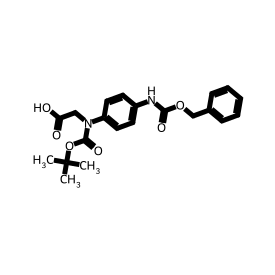 CC(C)(C)OC(=O)N(CC(=O)O)c1ccc(NC(=O)OCc2ccccc2)cc1